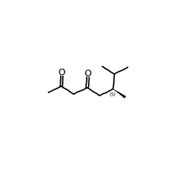 CC(=O)CC(=O)C[C@H](C)C(C)C